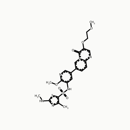 CNc1nc(C)c(S(=O)(=O)Nc2cc(-c3ccc4ncc(OCCOC)c(=O)n4c3)cnc2OC)s1